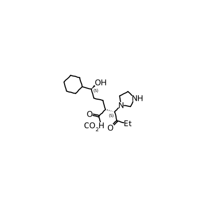 CCC(=O)[C@H](C(CC[C@H](O)C1CCCCC1)C(=O)C(=O)O)N1CCNC1